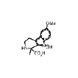 COc1ccc2[nH]c3c(c2c1)CCNC3(C)C(=O)O.Cl